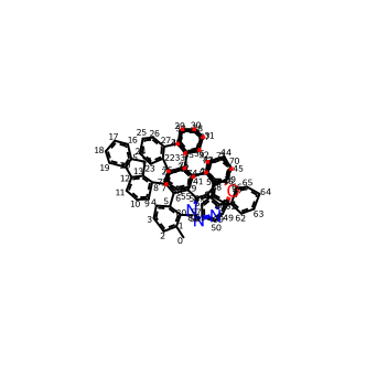 Cc1cccc(-c2c(-c3cccc4c3Cc3ccccc3-4)c(-c3ccccc3-c3ccccc3)c(-c3ccccc3)c(-c3cccc4oc5ccccc5c34)c2-c2nnnc(-c3ccccc3)c2-c2ccccc2-c2ccccc2)c1C